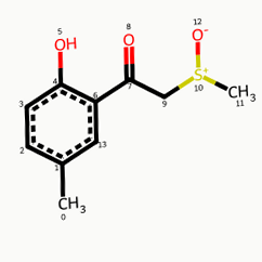 Cc1ccc(O)c(C(=O)C[S+](C)[O-])c1